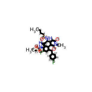 CCCC[S@+]([O-])NC(c1cc(=O)n(C)cc1-c1cc(NS(=O)(=O)CC)c(F)cc1C(=O)c1ccc(F)cc1)C1CC1